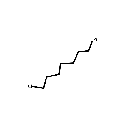 CC(C)CCCCCCCCl